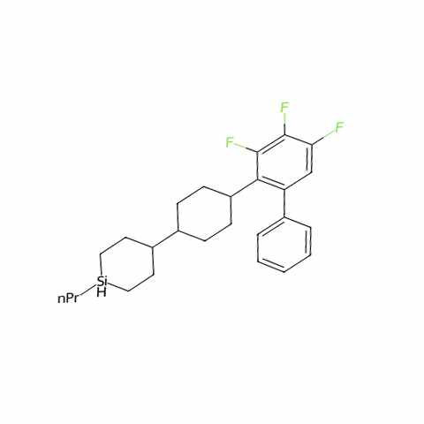 CCC[SiH]1CCC(C2CCC(c3c(-c4ccccc4)cc(F)c(F)c3F)CC2)CC1